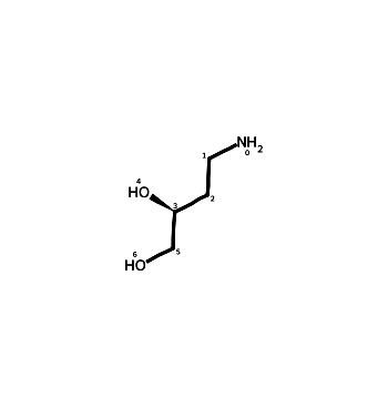 NCC[C@H](O)CO